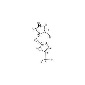 CC(C)c1ccc(Sc2nncn2C)o1